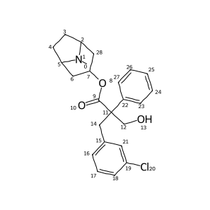 CN1C2CCC1CC(OC(=O)C(CO)(Cc1cccc(Cl)c1)c1ccccc1)C2